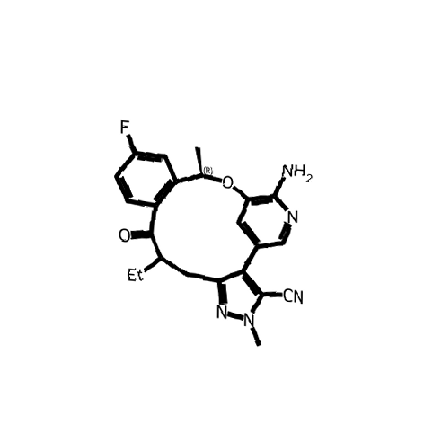 CCC1Cc2nn(C)c(C#N)c2-c2cnc(N)c(c2)O[C@H](C)c2cc(F)ccc2C1=O